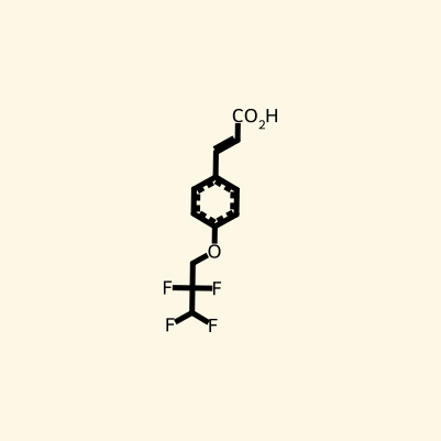 O=C(O)/C=C/c1ccc(OCC(F)(F)C(F)F)cc1